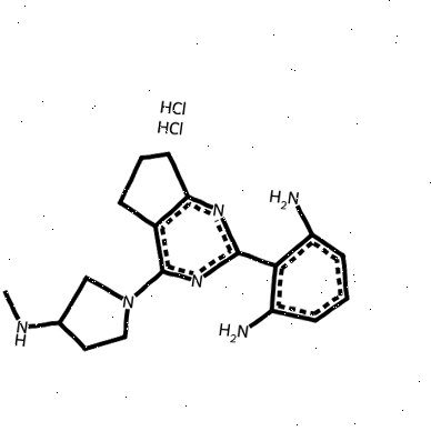 CNC1CCN(c2nc(-c3c(N)cccc3N)nc3c2CCC3)C1.Cl.Cl